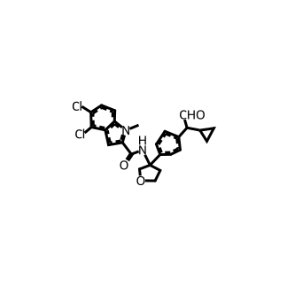 Cn1c(C(=O)NC2(c3ccc(C(C=O)C4CC4)cc3)CCOC2)cc2c(Cl)c(Cl)ccc21